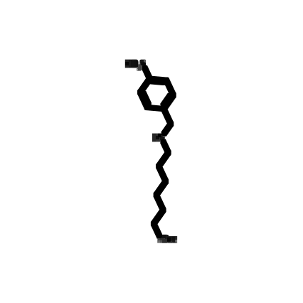 CCCCCCCCCCCCCCCCNCc1ccc(S(=O)(=O)O)cc1